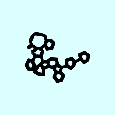 C=C1/C=C\C=C/Cc2ccccc2-c2nc(-n3c4ccccc4c4c5c6ccccc6n(-c6ccc(-c7ccccc7)cc6)c5ccc43)c(-c3ccccc3)nc21